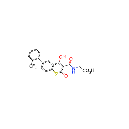 O=C(O)CNC(=O)c1c(O)c2cc(-c3ccccc3C(F)(F)F)ccc2sc1=O